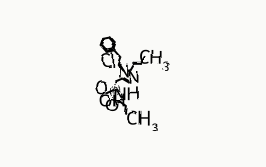 CCCC(=O)N[C@@H](Cc1cnc(CCC)n1CCc1ccccc1Cl)C(=O)O